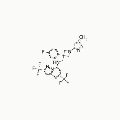 Cn1cc(N2CC(CNc3cc(C(F)(F)F)nc4cc(C(F)(F)F)nn34)(c3ccc(F)cc3)C2)nn1